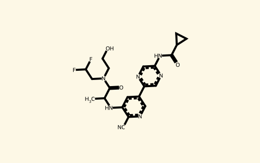 CC(Nc1cc(-c2cnc(NC(=O)C3CC3)cn2)cnc1C#N)C(=O)N(CCO)CC(F)F